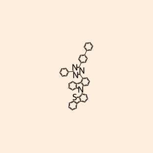 c1ccc(-c2ccc(-c3nc(-c4ccccc4)nc(-c4cccc5c4c4ccccc4n5-c4cccc5c4sc4ccccc45)n3)cc2)cc1